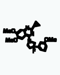 COc1cccc(C2(F)CCN(c3nc(C4CC4)nc4cc(OC)c(OC)cc34)C2)c1